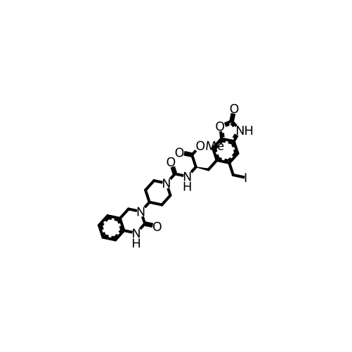 COC(=O)[C@@H](Cc1cc2oc(=O)[nH]c2cc1CI)NC(=O)N1CCC(N2Cc3ccccc3NC2=O)CC1